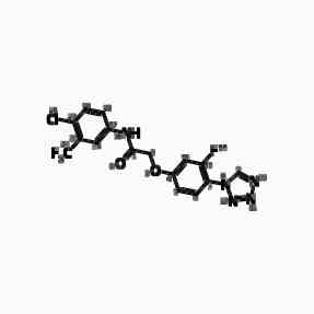 O=C(COc1ccc(-n2cnnn2)c(F)c1)Nc1ccc(Cl)c(C(F)(F)F)c1